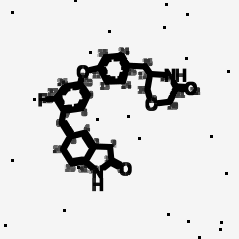 O=C1CC2=CC(=Cc3ccc(Oc4ccc(CC5COCC(=O)N5)cc4)cc3F)CC=C2N1